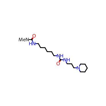 CNC(=O)NCCCCCCNC(=O)NCCCN1CCCCC1